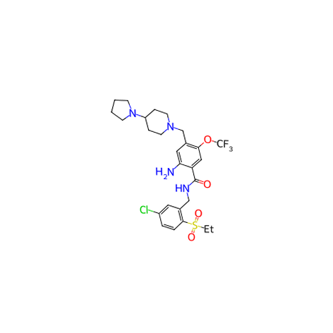 CCS(=O)(=O)c1ccc(Cl)cc1CNC(=O)c1cc(OC(F)(F)F)c(CN2CCC(N3CCCC3)CC2)cc1N